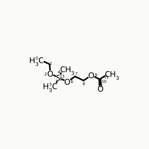 CCO[Si](C)(C)OCCOC(C)=O